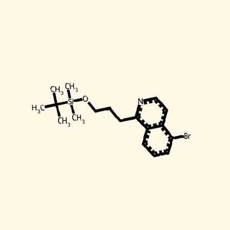 CC(C)(C)[Si](C)(C)OCCCc1nccc2c(Br)cccc12